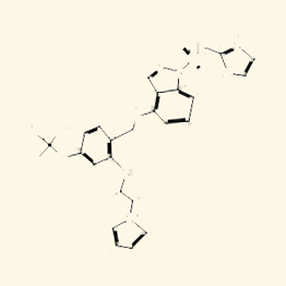 O=S(=O)(Nc1nccs1)n1ncc2c(OCc3ccc(OC(F)(F)F)cc3NCCn3cccc3)cccc21